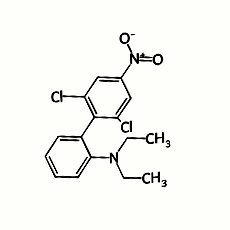 CCN(CC)c1ccccc1-c1c(Cl)cc([N+](=O)[O-])cc1Cl